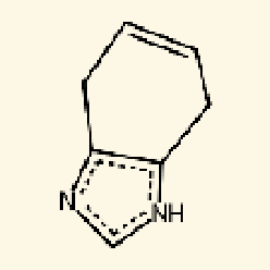 C1=CCc2[nH]cnc2C1